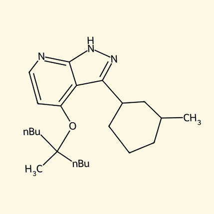 CCCCC(C)(CCCC)Oc1ccnc2[nH]nc(C3CCCC(C)C3)c12